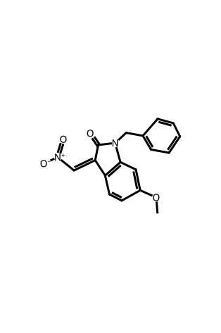 COc1ccc2c(c1)N(Cc1ccccc1)C(=O)C2=C[N+](=O)[O-]